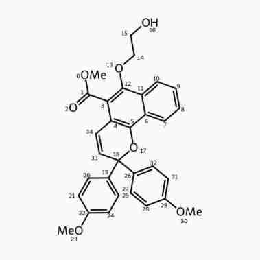 COC(=O)c1c2c(c3ccccc3c1OCCO)OC(c1ccc(OC)cc1)(c1ccc(OC)cc1)C=C2